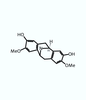 COc1cc2c(cc1O)[C@@H]1Cc3cc(O)c(OC)cc3C(C2)N1C